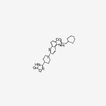 O=C(CC1CCCCC1)Nc1c(Cl)ccc2nc(N3CCC(c4noc(=O)[nH]4)CC3)ccc12